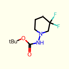 CC(C)(C)OC(=O)NN1CC[CH]C(F)(F)C1